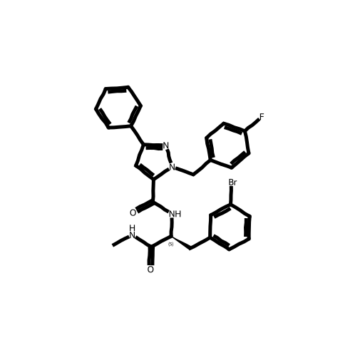 CNC(=O)[C@H](Cc1cccc(Br)c1)NC(=O)c1cc(-c2ccccc2)nn1Cc1ccc(F)cc1